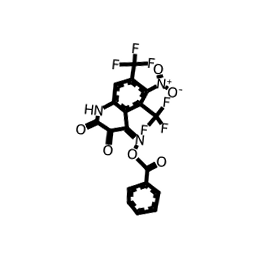 O=C1Nc2cc(C(F)(F)F)c([N+](=O)[O-])c(C(F)(F)F)c2C(=NOC(=O)c2ccccc2)C1=O